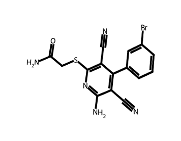 N#Cc1c(N)nc(SCC(N)=O)c(C#N)c1-c1cccc(Br)c1